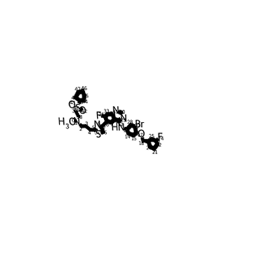 CN(CCCc1nc(-c2cc3c(Nc4ccc(OCc5cccc(F)c5)c(Br)c4)ncnc3cc2F)cs1)CCS(=O)(=O)c1ccccc1